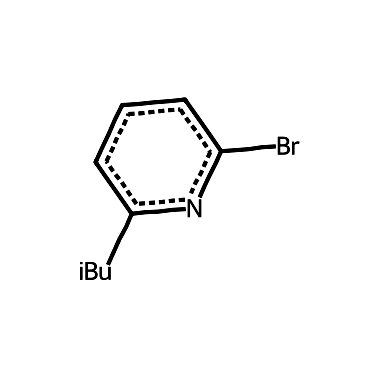 CCC(C)c1cccc(Br)n1